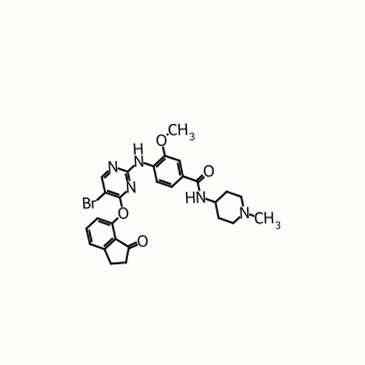 COc1cc(C(=O)NC2CCN(C)CC2)ccc1Nc1ncc(Br)c(Oc2cccc3c2C(=O)CC3)n1